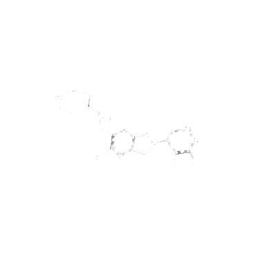 Cc1c(N2Cc3cc(F)c(CNC4CCNCC4)cc3C2)cn[nH]c1=O